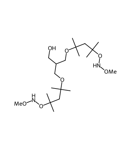 CONOC(C)(C)CC(C)(C)OCC(CO)COC(C)(C)CC(C)(C)ONOC